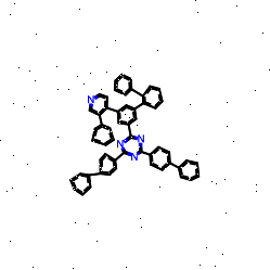 c1ccc(-c2ccc(-c3nc(-c4ccc(-c5ccccc5)cc4)nc(-c4cc(-c5ccccc5-c5ccccc5)cc(-c5ccncc5-c5ccccc5)c4)n3)cc2)cc1